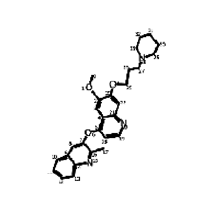 COc1cc2c(Oc3cc4ccccc4nc3C)ccnc2cc1OCCCN1CCCCC1